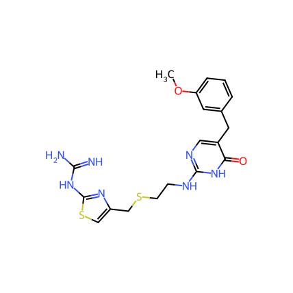 COc1cccc(Cc2cnc(NCCSCc3csc(NC(=N)N)n3)[nH]c2=O)c1